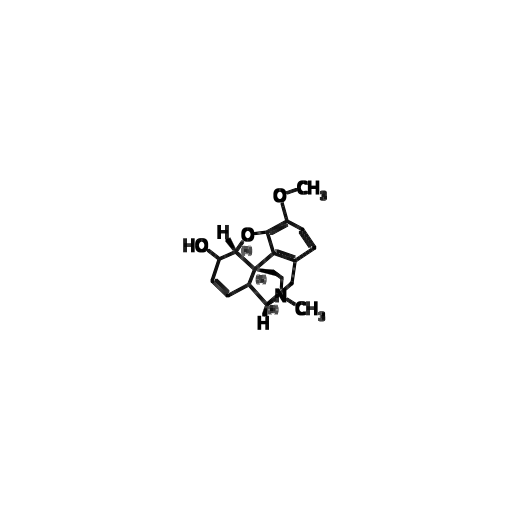 COc1ccc2c3c1O[C@H]1C(O)C=CC4[C@@H](C2)N(C)CC[C@@]341